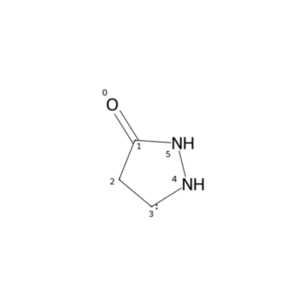 O=C1C[C]NN1